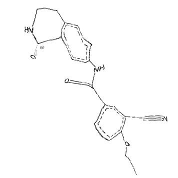 CCOc1ccc(C(=O)Nc2ccc3c(c2)[C@H](Cl)NCC3)cc1C#N